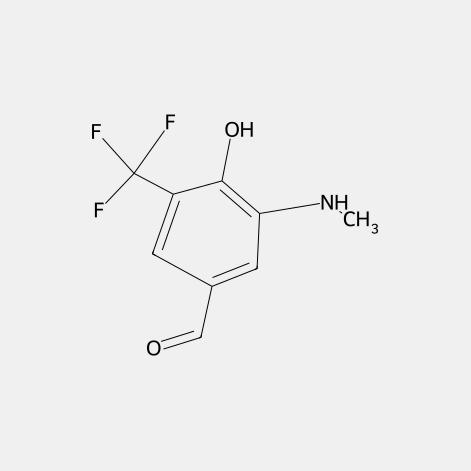 CNc1cc(C=O)cc(C(F)(F)F)c1O